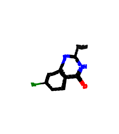 CSc1nc2cc(Br)ccc2c(=O)[nH]1